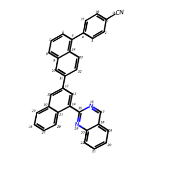 N#Cc1ccc(-c2cccc3cc(-c4cc(-c5ncc6ccccc6n5)c5ccccc5c4)ccc23)cc1